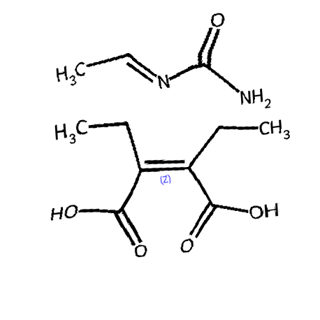 CC/C(C(=O)O)=C(\CC)C(=O)O.CC=NC(N)=O